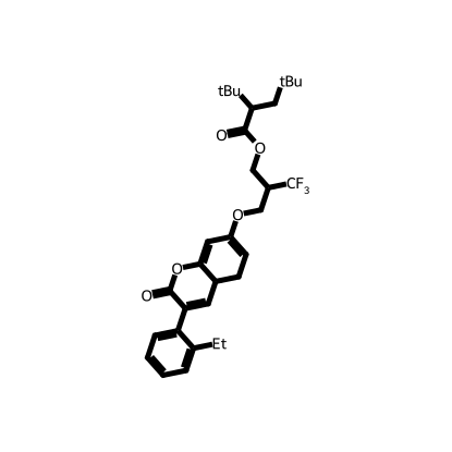 CCc1ccccc1C1=CC2CC=C(OCC(COC(=O)C(CC(C)(C)C)C(C)(C)C)C(F)(F)F)C=C2OC1=O